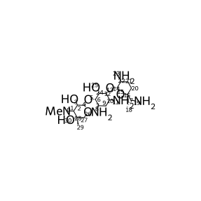 CNC1C(O)[C@@H](O[C@H]2C(N)C[C@H](N)C(O[C@H]3OC([C@@H](C)N)CCC3N)C2O)OC[C@]1(C)O